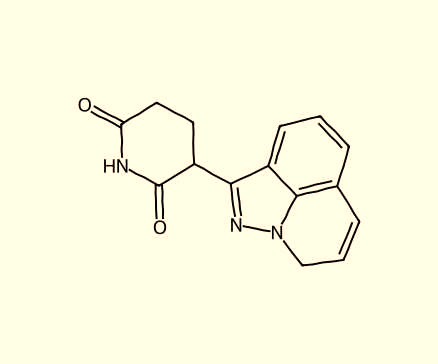 O=C1CCC(c2nn3c4c(cccc24)C=CC3)C(=O)N1